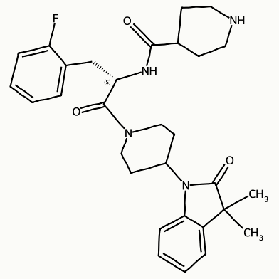 CC1(C)C(=O)N(C2CCN(C(=O)[C@H](Cc3ccccc3F)NC(=O)C3CCNCC3)CC2)c2ccccc21